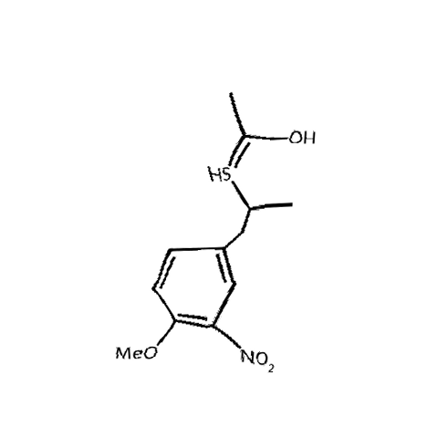 COc1ccc(C(C)[SH]=C(C)O)cc1[N+](=O)[O-]